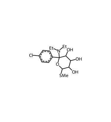 CCN(CC)C1(c2ccc(Cl)cc2)OC(SC)C(O)C(O)C1O